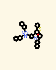 c1ccc2cc(C3=NC(c4ccc(-n5c6ccccc6c6cc7ccccc7cc65)c(-c5ccc6sc7ccccc7c6c5)c4)=NC(c4ccc5ccccc5c4)N3)ccc2c1